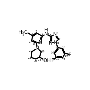 Cc1cc(Nc2ncn(-c3cc(F)cc(F)c3)n2)nc(N2CCCC(O)C2)c1